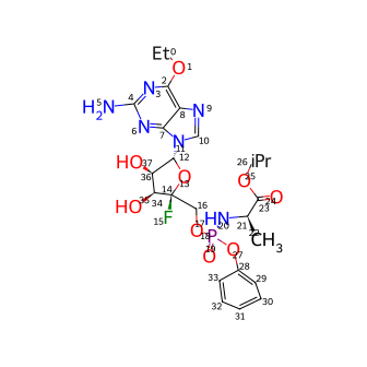 CCOc1nc(N)nc2c1ncn2[C@@H]1O[C@](F)(CO[P@](=O)(N[C@H](C)C(=O)OC(C)C)Oc2ccccc2)[C@@H](O)[C@H]1O